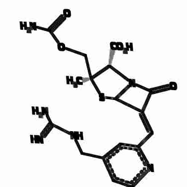 C[C@@]1(COC(N)=O)SC2/C(=C\c3cc(CNC(=N)N)ccn3)C(=O)N2[C@H]1C(=O)O